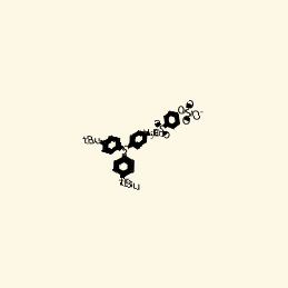 CC(C)(C)c1ccc([S+](c2ccc(C(C)(C)C)cc2)c2ccc(C(C)(C)C)cc2)cc1.CS(=O)(=O)c1ccc(OS(=O)(=O)[O-])cc1